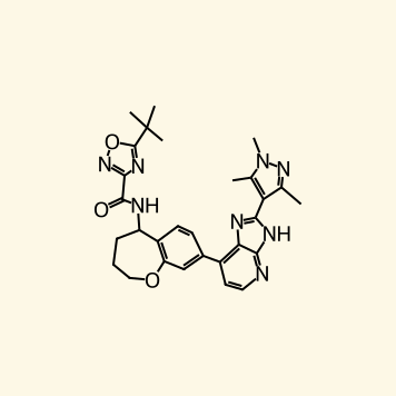 Cc1nn(C)c(C)c1-c1nc2c(-c3ccc4c(c3)OCCCC4NC(=O)c3noc(C(C)(C)C)n3)ccnc2[nH]1